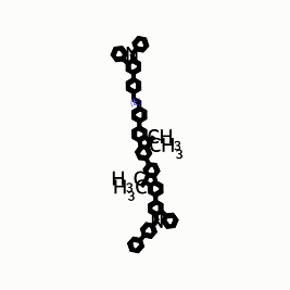 CC1(C)c2cc(-c3ccc(/C=C/c4ccc(-c5ccc6c(c5)c5ccccc5n6-c5ccccc5)cc4)cc3)ccc2-c2ccc(-c3ccc4c(c3)C(C)(C)c3cc(-c5ccc6c(c5)c5ccccc5n6-c5ccc(-c6ccccc6)cc5)ccc3-4)cc21